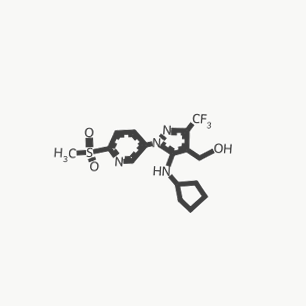 CS(=O)(=O)c1ccc(-n2nc(C(F)(F)F)c(CO)c2NC2CCCC2)cn1